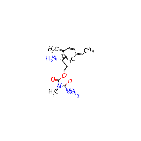 C=C(/C=C\C(C)=C/C)C[C@@H](N)CCOC(=O)N(C)C(N)=O